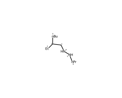 CCCCC(CC)CNNCCC